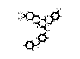 CC1(C)OCC(CN2C(=O)N/C(=N\c3ccc(Oc4ccccn4)cc3)N(Cc3ccc(Cl)cc3)C2O)CO1